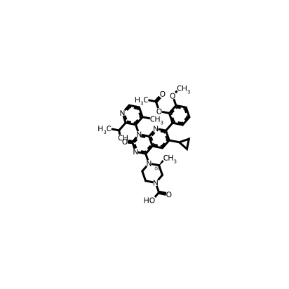 COc1cccc(-c2nc3c(cc2C2CC2)c(N2CCN(C(=O)O)C[C@@H]2C)nc(=O)n3-c2c(C)ccnc2C(C)C)c1OC(C)=O